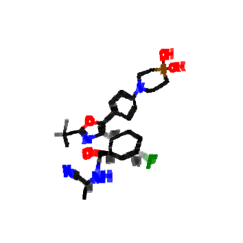 C[C@@H](C#N)NC(=O)[C@@H]1C[C@@H](F)CC[C@H]1c1nc(C(C)(C)C)oc1-c1ccc(N2CCS(O)(O)CC2)cc1